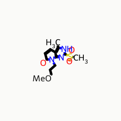 COCCCn1c(=O)ccc2c1=NC(S(C)(=O)=O)NC=2C